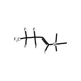 C[Si](C)(C)C(I)=CC(F)(F)C(F)(F)C(F)(F)F